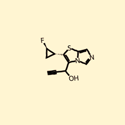 C#CC(O)c1c([C@@H]2C[C@H]2F)sc2cncn12